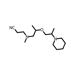 CC(CN(C)CCC#N)OCC(C)N1CCCCC1